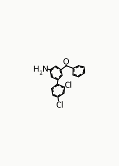 Nc1cc(C(=O)c2ccccc2)cc(-c2ccc(Cl)cc2Cl)c1